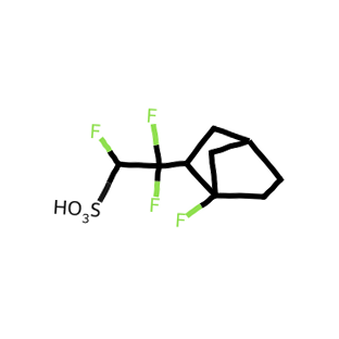 O=S(=O)(O)C(F)C(F)(F)C1CC2CCC1(F)C2